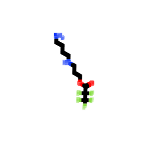 NCCCCNCCCOC(=O)C(F)(F)C(F)(F)F